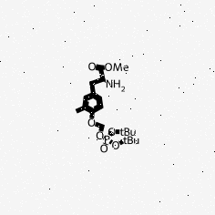 COC(=O)[C@@H](N)Cc1ccc(OCOP(=O)(OC(C)(C)C)OC(C)(C)C)c(C)c1